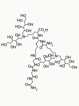 NC(=O)CNC(=O)CNC(=O)CCC(=O)NCCCC[C@H](NC(=O)[C@@H](N)CCCCN(C[C@H](O)[C@@H](O)[C@H](O)[C@H](O)CO)C[C@H](O)[C@@H](O)[C@H](O)[C@H](O)CO)C(=O)N[C@@H](CCCCN(C[C@H](O)[C@@H](O)[C@H](O)[C@H](O)CO)C[C@H](O)[C@@H](O)[C@H](O)[C@H](O)CO)C(=O)O